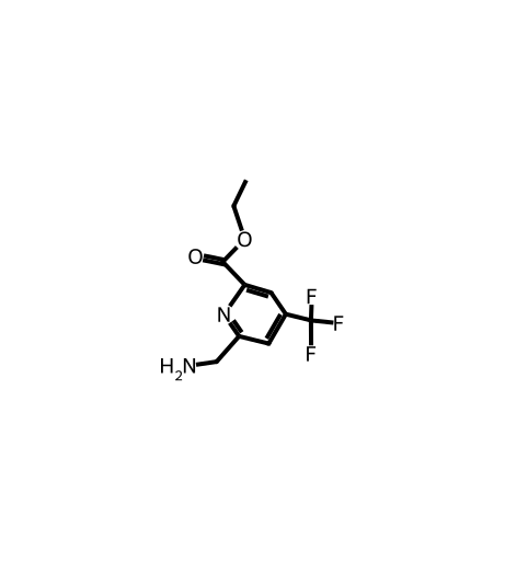 CCOC(=O)c1cc(C(F)(F)F)cc(CN)n1